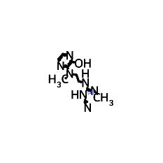 C/N=C(\NC#N)NCCN(C)c1nccnc1O